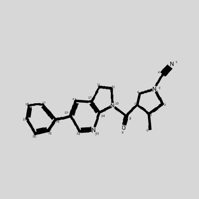 CC1CN(C#N)CC1C(=O)N1CCc2cc(-c3ccccc3)cnc21